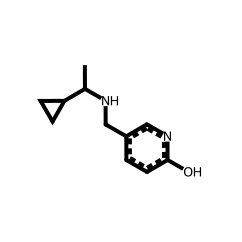 CC(NCc1ccc(O)nc1)C1CC1